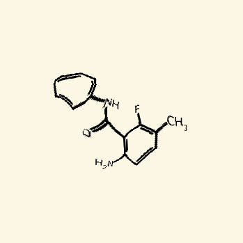 Cc1ccc(N)c(C(=O)Nc2ccccc2)c1F